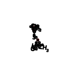 CC1(C)c2ccccc2-c2ccc(N(c3ccc(-c4ccc5sc6cc(-c7ccc(-c8ccccc8-c8c(-c9ccccc9)cccc8N(c8ccc(-c9cccc%10oc%11ccccc%11c9%10)cc8)c8ccc9c(c8)C(C)(C)c8ccccc8-9)cc7)ccc6c5c4)cc3)c3cccc(-c4ccccc4)c3-c3ccccc3-c3ccccc3)cc21